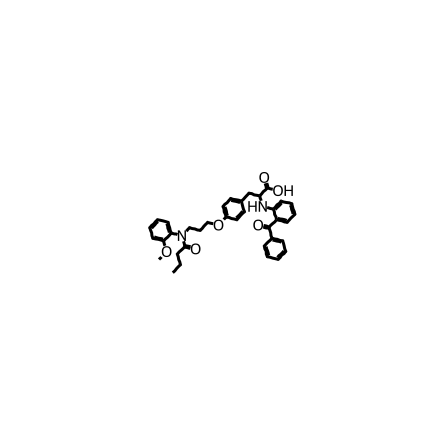 CCCC(=O)N(CCCOc1ccc(CC(Nc2ccccc2C(=O)c2ccccc2)C(=O)O)cc1)c1ccccc1OC